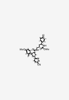 COC(=O)NC(CCCNC(=O)[C@@H]1CN(c2ccc(C#N)nn2)C[C@H]1c1ccc(OC)cc1F)c1ccc(Cl)cc1